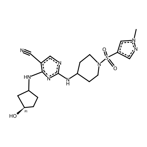 Cn1cc(S(=O)(=O)N2CCC(Nc3ncc(C#N)c(NC4CC[C@@H](O)C4)n3)CC2)cn1